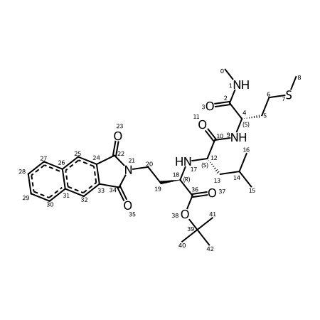 CNC(=O)[C@H](CCSC)NC(=O)[C@H](CC(C)C)N[C@H](CCN1C(=O)c2cc3ccccc3cc2C1=O)C(=O)OC(C)(C)C